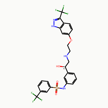 O=S(=O)(Nc1cccc([C@@H](O)CNCCOc2ccc3c(C(F)(F)F)n[nH]c3c2)c1)c1cccc(C(F)(F)F)c1